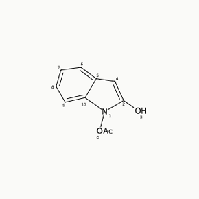 CC(=O)On1c(O)cc2ccccc21